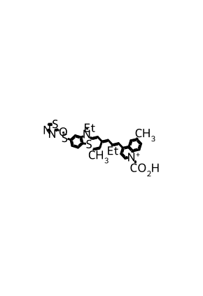 C/C=C/C(/C=C1\Sc2ccc(SOc3nncs3)cc2N1CC)=C\C(=C\c1cc[n+](CC(=O)O)c2ccc(C)cc12)CC